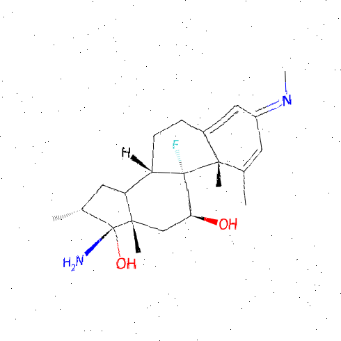 C/N=C1/C=C(C)[C@@]2(C)C(=C1)CC[C@H]1C3C[C@@H](C)[C@@](N)(O)[C@@]3(C)C[C@H](O)[C@@]12F